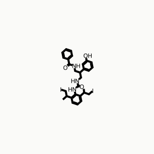 CC(CI)c1cccc(C(C)CI)c1NC(=O)NCC(CNC(=O)c1ccccc1)c1cccc(O)c1